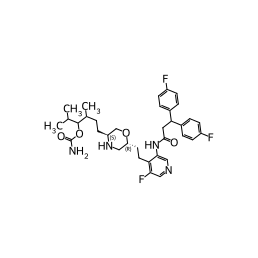 CC(C)C(OC(N)=O)C(C)CC[C@H]1CO[C@H](CCc2c(F)cncc2NC(=O)CC(c2ccc(F)cc2)c2ccc(F)cc2)CN1